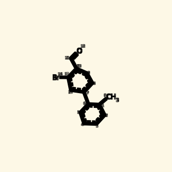 Cc1ccccc1-c1ccc(C=O)c(Br)c1